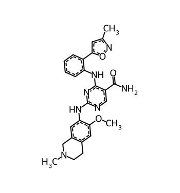 COc1cc2c(cc1Nc1ncc(C(N)=O)c(Nc3ccccc3-c3cc(C)no3)n1)CN(C)CC2